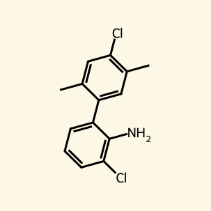 Cc1cc(-c2cccc(Cl)c2N)c(C)cc1Cl